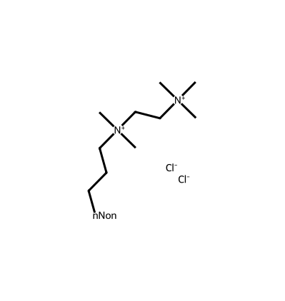 CCCCCCCCCCCC[N+](C)(C)CC[N+](C)(C)C.[Cl-].[Cl-]